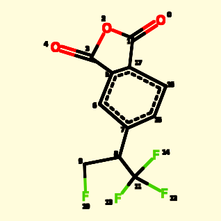 O=C1OC(=O)c2cc(C(CF)C(F)(F)F)ccc21